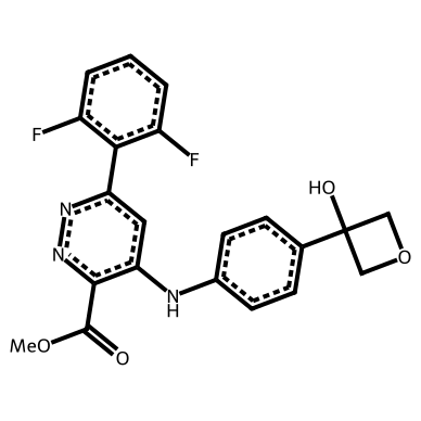 COC(=O)c1nnc(-c2c(F)cccc2F)cc1Nc1ccc(C2(O)COC2)cc1